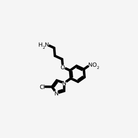 NCCCOc1cc([N+](=O)[O-])ccc1-n1cnc(Cl)c1